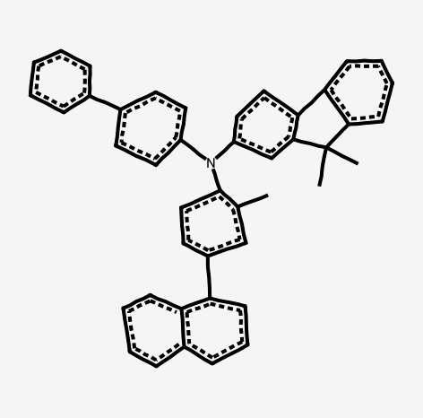 Cc1cc(-c2cccc3ccccc23)ccc1N(c1ccc(-c2ccccc2)cc1)c1ccc2c(c1)C(C)(C)c1ccccc1-2